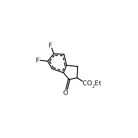 CCOC(=O)C1Cc2cc(F)c(F)cc2C1=O